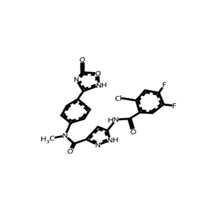 CN(C(=O)c1cc(NC(=O)c2cc(F)c(F)cc2Cl)[nH]n1)c1ccc(-c2nc(=O)o[nH]2)cc1